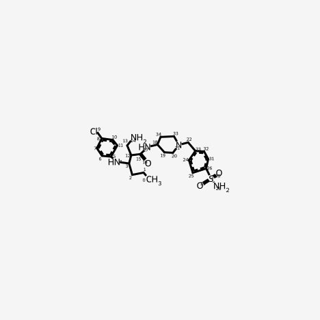 CCCC(Nc1ccc(Cl)cc1)C(CN)C(=O)NC1CCN(Cc2ccc(S(N)(=O)=O)cc2)CC1